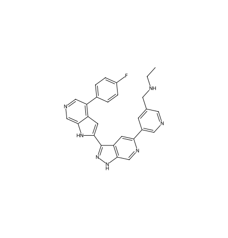 CCNCc1cncc(-c2cc3c(-c4cc5c(-c6ccc(F)cc6)cncc5[nH]4)n[nH]c3cn2)c1